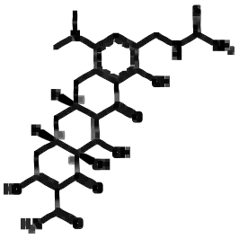 CN(C)c1cc(CNC(N)=S)c(O)c2c1C[C@H]1C[C@H]3CC(O)=C(C(N)=O)C(=O)[C@@]3(O)C(O)=C1C2=O